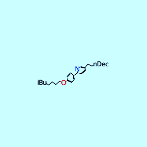 CCCCCCCCCCCCc1ccc(-c2ccc(OCCCCC(C)CC)cc2)nc1